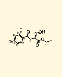 CCOC(=O)C(CC(=O)c1ccc(F)cc1F)=NO